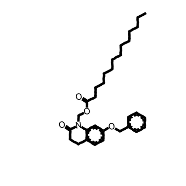 CCCCCCCCCCCCCC(=O)OCN1C(=O)CCc2ccc(OCc3ccccc3)cc21